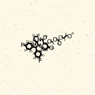 COCCOC(=O)OCOc1c2n(ncc1=O)[C@@H](C(c1ccc(F)cc1)c1ccc(F)cc1)[C@H]1CCCN1C2=O